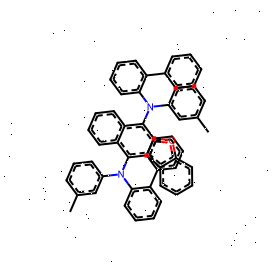 Cc1cccc(N(c2ccccc2-c2ccccc2)c2c3ccccc3c(N(c3cccc(C)c3)c3ccccc3-c3ccccc3)c3c2oc2ccccc23)c1